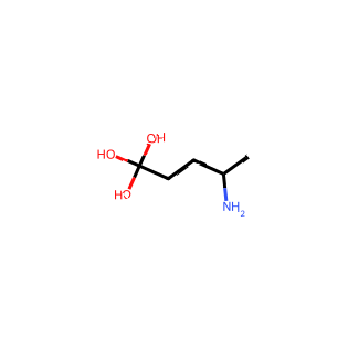 CC(N)CCC(O)(O)O